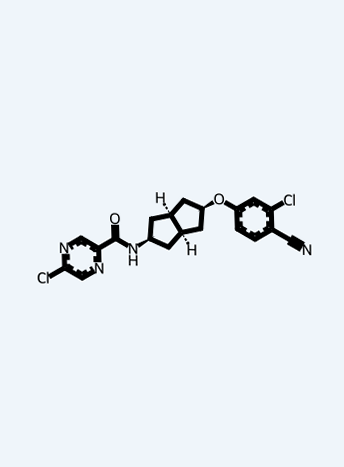 N#Cc1ccc(O[C@H]2C[C@H]3C[C@@H](NC(=O)c4cnc(Cl)cn4)C[C@H]3C2)cc1Cl